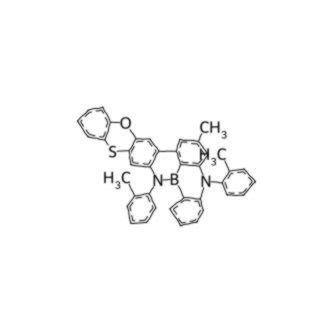 Cc1cc2c3c(c1)N(c1ccccc1C)c1ccccc1B3N(c1ccccc1C)c1cc3c(cc1-2)Oc1ccccc1S3